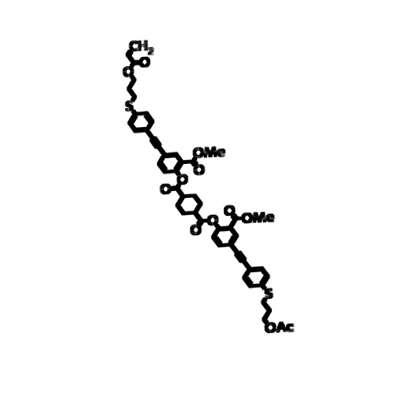 C=CC(=O)OCCCSc1ccc(C#Cc2ccc(OC(=O)C3CCC(C(=O)Oc4ccc(C#Cc5ccc(SCCCOC(C)=O)cc5)cc4C(=O)OC)CC3)c(C(=O)OC)c2)cc1